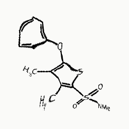 CNS(=O)(=O)c1sc(Oc2ccccc2)c(C)c1C